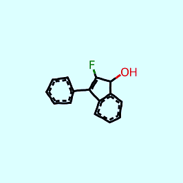 OC1C(F)=C(c2ccccc2)c2ccccc21